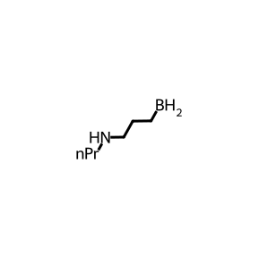 BCCCNCCC